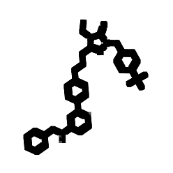 CCn1c(CCCc2ccc(-c3cc(NCc4ccccc4)ccn3)cc2)nn(Cc2ccc(C(C)(C)C)cc2)c1=O